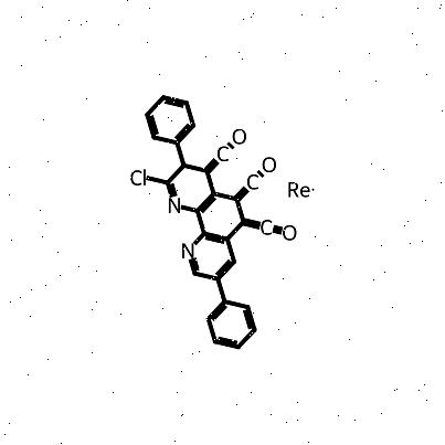 O=C=C1c2c(c3ncc(-c4ccccc4)cc3c(=C=O)c2=C=O)N=C(Cl)C1c1ccccc1.[Re]